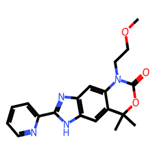 COCCN1C(=O)OC(C)(C)c2cc3[nH]c(-c4ccccn4)nc3cc21